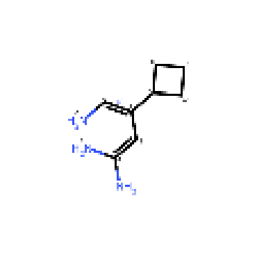 N/C=C(\C=C(N)N)C1CCC1